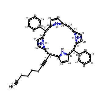 C#CCCCCC#Cc1c2nc(c(-c3ccccc3)c3ccc(cc4nc(c(-c5ccccc5)c5ccc1[nH]5)C=C4)[nH]3)C=C2